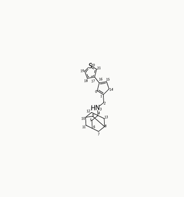 C1=C(CNC23CC4CC(CC(C4)C2)C3)CC=C1c1ccsc1